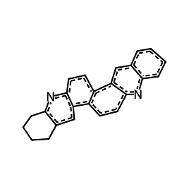 c1ccc2nc3ccc4c5cc6c(nc5ccc4c3cc2c1)CCCC6